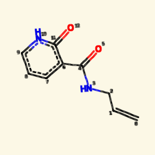 C=CCNC(=O)c1ccc[nH]c1=O